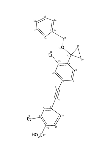 CCc1cc(C#Cc2ccc(C3(OCc4ccccc4)CC3)c(CC)c2)ccc1C(=O)O